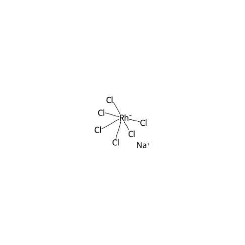 [Cl][Rh-]([Cl])([Cl])([Cl])([Cl])[Cl].[Na+]